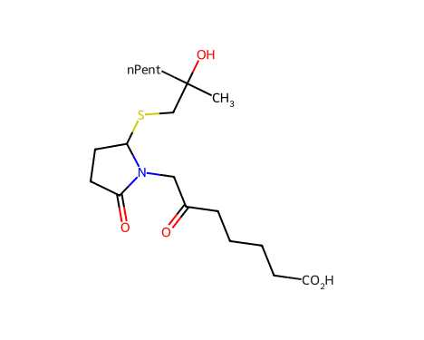 CCCCCC(C)(O)CSC1CCC(=O)N1CC(=O)CCCCC(=O)O